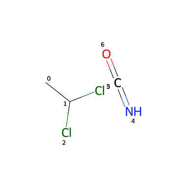 CC(Cl)Cl.N=C=O